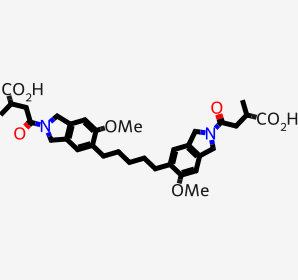 COc1cc2c(cc1CCCCCc1cc3c(cc1OC)CN(C(=O)CC(C)C(=O)O)C3)CN(C(=O)CC(C)C(=O)O)C2